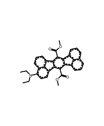 CCN(CC)c1ccc2c3c(C(=O)OC)c4c5cccc6cccc(c4c(C(=O)OC)c3c3cccc1c32)c65